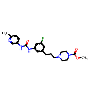 COC(=O)N1CCN(CCCc2cc(F)cc(NC(=O)Nc3ccc(C)nc3)c2)CC1